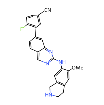 COc1cc2c(cc1Nc1ncc3ccc(-c4cc(C#N)ccc4F)cc3n1)CNCC2